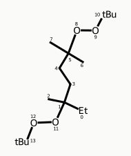 CCC(C)(CCC(C)(C)OOC(C)(C)C)OOC(C)(C)C